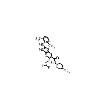 Cc1ccnc(C)c1Nc1nc2cc(C(=O)N[C@H]3CC[C@H](C(F)(F)F)CC3)c(OCC(F)F)nc2[nH]1